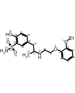 CCOc1ccccc1OCCNC(C)Cc1ccc(O)c(S(N)(=O)=O)c1